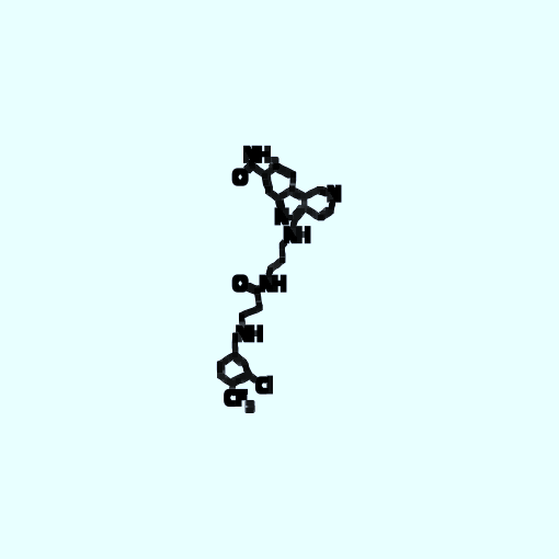 NC(=O)c1ccc2c(c1)nc(NCCCNC(=O)CCNCc1ccc(C(F)(F)F)c(Cl)c1)c1ccncc12